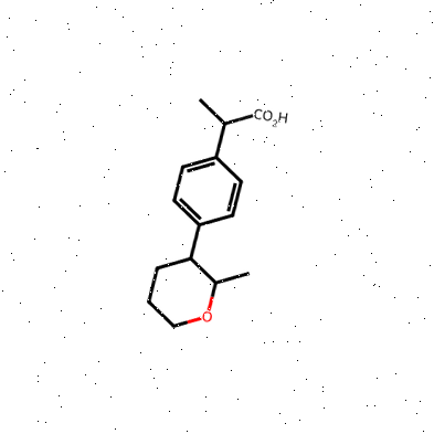 CC(C(=O)O)c1ccc(C2CCCOC2C)cc1